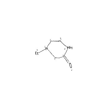 [CH2]CN1CCNC(=O)C1